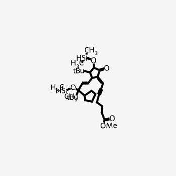 COC(=O)CCCC#CC=C1C(=O)C(O[SiH](C)C)C(C(C)(C)C)C1C=CC(O[SiH](C)C)(C1CCCC1)C(C)(C)C